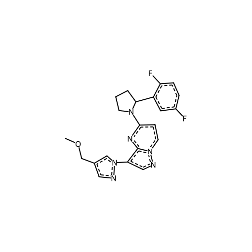 COCc1cnn(-c2cnn3ccc(N4CCCC4c4cc(F)ccc4F)nc23)c1